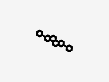 c1ccc(-c2ccc3c(ccc4c5ccc(-c6ccccc6)cc5ccc34)c2)cc1